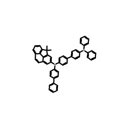 CC1(C)c2cccc3ccc4cc(N(c5ccc(-c6ccccc6)cc5)c5ccc(-c6ccc(N(c7ccccc7)c7ccccc7)cc6)cc5)cc1c4c23